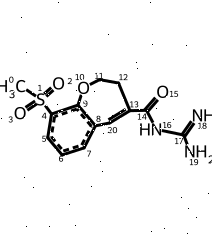 CS(=O)(=O)c1cccc2c1OCCC(C(=O)NC(=N)N)=C2